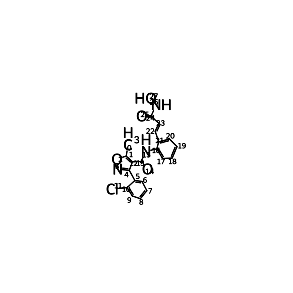 Cc1onc(-c2ccccc2Cl)c1C(=O)Nc1ccccc1/C=C/C(=O)NO